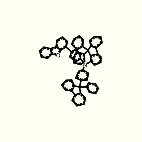 c1ccc(C2(c3ccc(N(c4ccc(-c5cccc6c5oc5ccccc56)cc4)c4cccc5c4C(c4ccccc4)(c4ccccc4)c4ccccc4-5)cc3)c3ccccc3-c3ccccc32)cc1